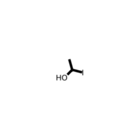 C[C](O)I